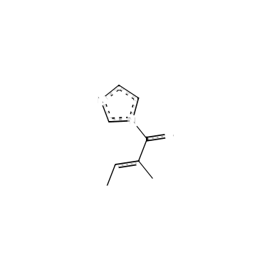 CC=C(C)C(=O)n1ccnc1